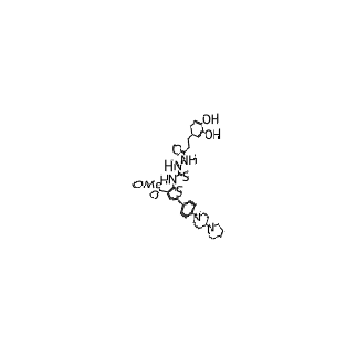 COC(=O)c1cc(-c2ccc(N3CCC(N4CCCCC4)CC3)cc2)sc1NC(=S)NNC(=O)CCC1C=C(O)C(O)=CC1